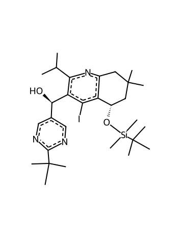 CC(C)c1nc2c(c(I)c1[C@H](O)c1cnc(C(C)(C)C)nc1)[C@@H](O[Si](C)(C)C(C)(C)C)CC(C)(C)C2